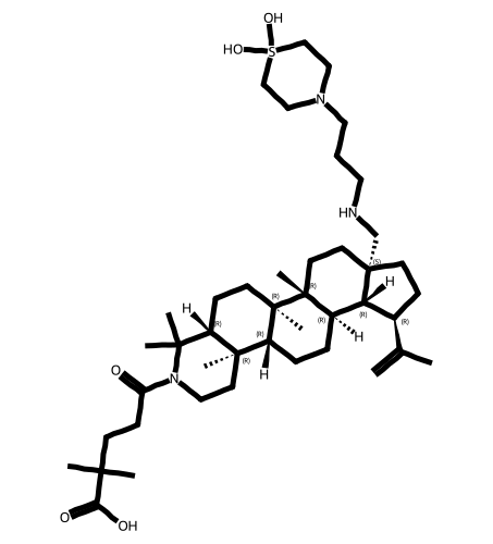 C=C(C)[C@@H]1CC[C@]2(CNCCCN3CCS(O)(O)CC3)CC[C@]3(C)[C@H](CC[C@@H]4[C@@]5(C)CCN(C(=O)CCC(C)(C)C(=O)O)C(C)(C)[C@@H]5CC[C@]43C)[C@@H]12